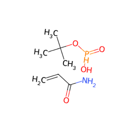 C=CC(N)=O.CC(C)(C)O[PH](=O)O